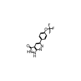 O=c1[nH][nH]c2nnc(-c3ccc(OC(F)(F)F)cc3)cc12